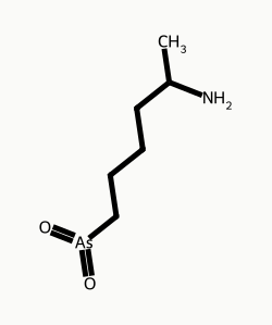 CC(N)CCCC[As](=O)=O